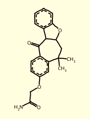 CC1(C)CC2Oc3ccccc3C2C(=O)c2ccc(OCC(N)=O)cc21